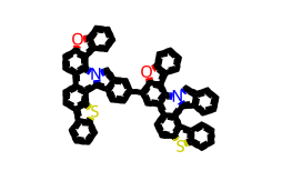 c1ccc2c(c1)cn1c3c(cc(-c4ccc5c(c4)cn4c6c(ccc7oc8ccccc8c76)c6ccc7c8ccccc8sc7c6c54)c4oc5ccccc5c43)c3ccc4sc5ccccc5c4c3c21